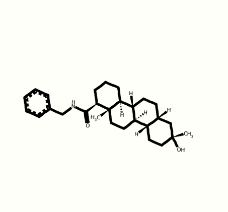 C[C@@]1(O)CC[C@H]2[C@H](CC[C@@H]3[C@@H]2CC[C@]2(C)[C@@H](C(=O)NCc4ccccc4)CCC[C@@H]32)C1